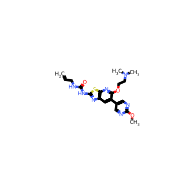 C=CCNC(=O)Nc1nc2cc(-c3cnc(OC)nc3)c(OCCN(C)C)nc2s1